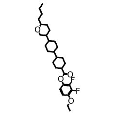 CCCCC1CCC(C2CCC(C3CCC(C(=O)Oc4ccc(OCC)c(F)c4F)CC3)CC2)CO1